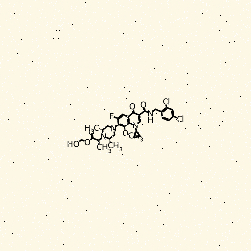 COc1c(N2C[C@@H](C)N(C(C)C(=O)OCO)[C@@H](C)C2)c(F)cc2c(=O)c(C(=O)NCc3ccc(Cl)cc3Cl)cn(C3CC3)c12